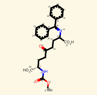 CC(C)(C)OC(=O)N[C@@H](CCC(=O)CCC(N=C(c1ccccc1)c1ccccc1)C(=O)O)C(=O)O